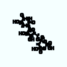 O=c1[nH]c(=O)n([C@@H]2O[C@H](COP3(=O)CP(=O)(O)OP(=O)(O)O3)C(O)[C@@H]2O)cc1O